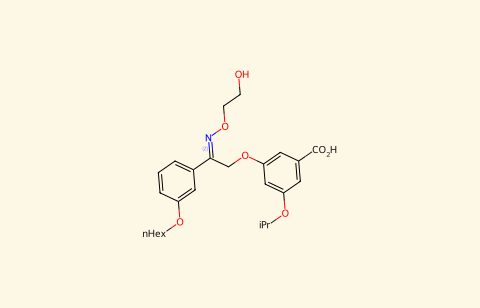 CCCCCCOc1cccc(/C(COc2cc(OC(C)C)cc(C(=O)O)c2)=N/OCCO)c1